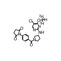 [2H]C([2H])([2H])Oc1nc(N[C@@H]2CCN(C(=O)c3ccc(N4C(=O)CCC4=O)cc3)C2)ncc1Cl